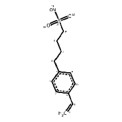 C=Cc1ccc(CCCCS(=O)(=O)N=O)cc1